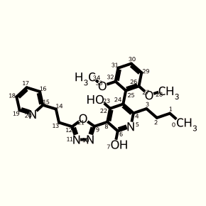 CCCCc1nc(O)c(-c2nnc(CCc3ccccn3)o2)c(O)c1-c1c(OC)cccc1OC